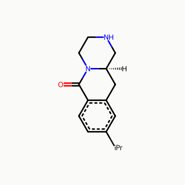 CC(C)c1ccc2c(c1)C[C@@H]1CNCCN1C2=O